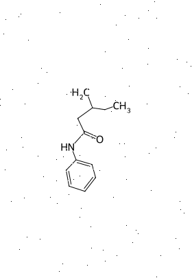 [CH2]C(CC)CC(=O)Nc1ccccc1